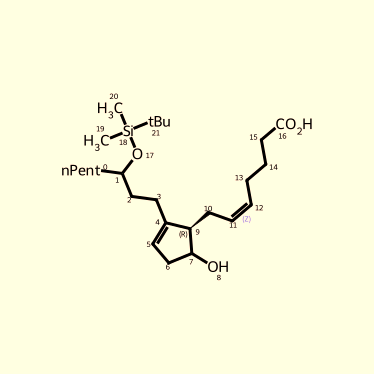 CCCCCC(CCC1=CCC(O)[C@@H]1C/C=C\CCCC(=O)O)O[Si](C)(C)C(C)(C)C